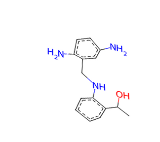 CC(O)c1ccccc1NCc1cc(N)ccc1N